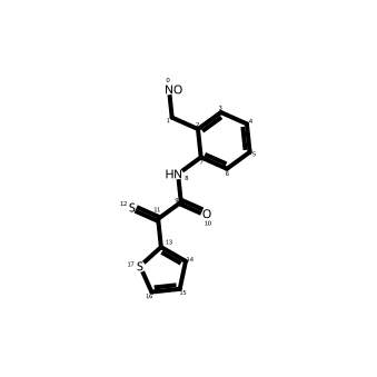 O=NCc1ccccc1NC(=O)C(=S)c1cccs1